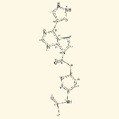 CC(=O)Nc1ccc(CC(=O)n2ccc3c(-c4cn[nH]c4)ncnc32)cc1